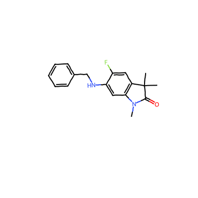 CN1C(=O)C(C)(C)c2cc(F)c(NCc3ccccc3)cc21